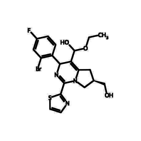 CCOC(O)C1=C2C[C@@H](CO)CN2C(c2nccs2)=NC1c1ccc(F)cc1Br